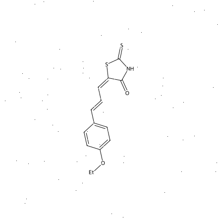 CCOc1ccc(C=CC=C2SC(=S)NC2=O)cc1